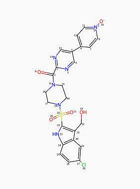 O=C(c1ncc(-c2cc[n+]([O-])cc2)cn1)N1CCN(S(=O)(=O)c2[nH]c3ccc(Cl)cc3c2CO)CC1